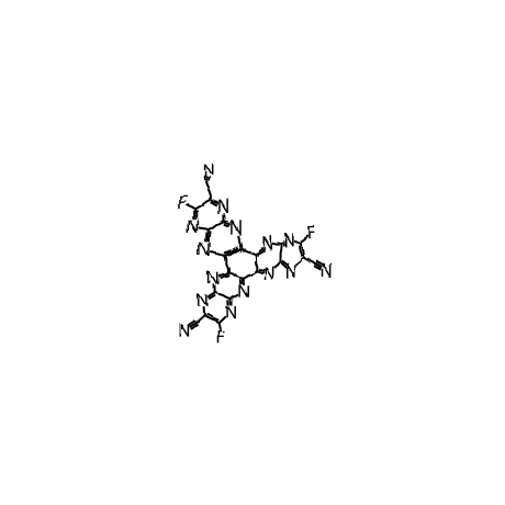 N#Cc1nc2nc3c4nc5nc(F)c(C#N)nc5nc4c4nc5nc(F)c(C#N)nc5nc4c3nc2nc1F